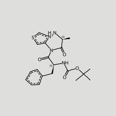 C[C@H](N)C(=O)N(C(=O)[C@H](Cc1ccccc1)NC(=O)OC(C)(C)C)c1cscn1